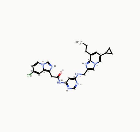 O=C(O)CCc1cc(C2CC2)cn2cc(CNc3cc(NC(=O)Cc4ncn5ccc(Cl)cc45)ncn3)nc12